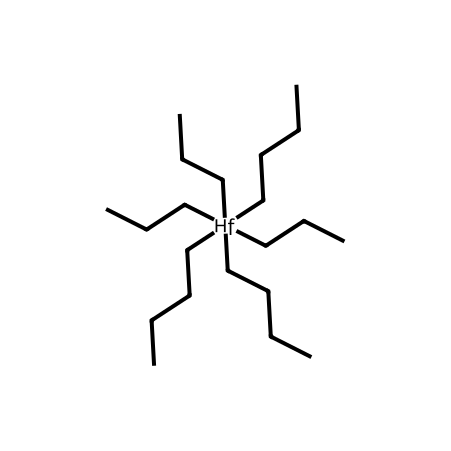 CCC[CH2][Hf]([CH2]CC)([CH2]CC)([CH2]CC)([CH2]CCC)[CH2]CCC